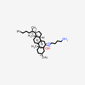 CC(=O)O[C@H]1CC[C@]2(C)[C@H]3CC[C@]4(C)[C@@H]([C@H](C)CCCC(C)C)CC[C@H]4[C@@H]3C[C@@H](NCCCCN)[C@@]2(O)C1